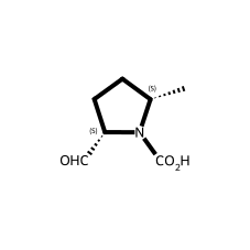 C[C@H]1CC[C@@H](C=O)N1C(=O)O